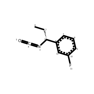 CC[C@@H](N=C=O)c1cccc(F)c1